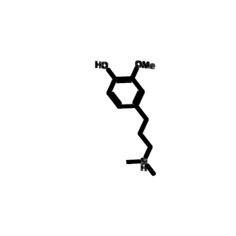 COc1cc(CCC[SiH](C)C)ccc1O